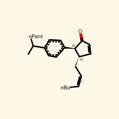 CCCC/C=C\C[C@H]1C=CC(=O)[C@@H]1c1ccc(C(C)CCCCC)cc1